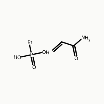 C=CC(N)=O.CCP(=O)(O)O